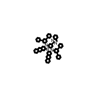 c1ccc(-c2cc(-c3ccccc3)cc(N3c4cc5cc6ccccc6cc5cc4B4c5cc6cc7ccccc7cc6cc5N(c5cc(-c6ccccc6)cc(-c6ccccc6)c5)c5cc(-c6ncc7ccccc7n6)cc3c54)c2)cc1